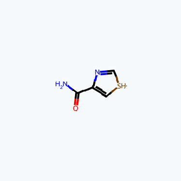 NC(=O)C1=C[SH]C=N1